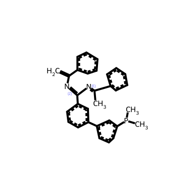 C=C(/N=C(\N=C(/C)c1ccccc1)c1cccc(-c2cccc(P(C)C)c2)c1)c1ccccc1